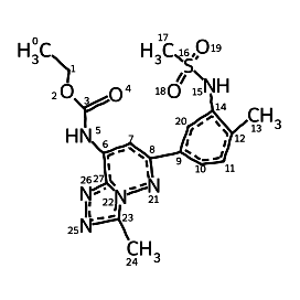 CCOC(=O)Nc1cc(-c2ccc(C)c(NS(C)(=O)=O)c2)nn2c(C)nnc12